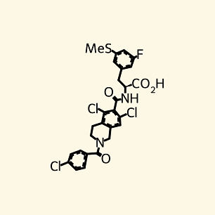 CSc1cc(F)cc(C[C@H](NC(=O)c2c(Cl)cc3c(c2Cl)CCN(C(=O)c2ccc(Cl)cc2)C3)C(=O)O)c1